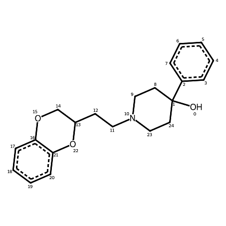 OC1(c2ccccc2)CCN(CCC2COc3ccccc3O2)CC1